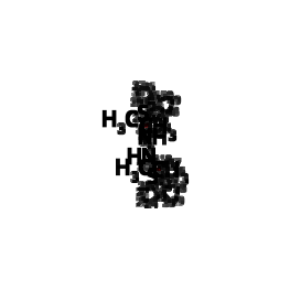 CC(C)(CNCCNCC(C)(C)SC(c1ccccc1)(c1ccccc1)c1ccccc1)SC(c1ccccc1)(c1ccccc1)c1ccccc1